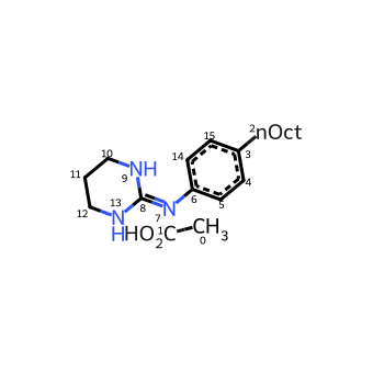 CC(=O)O.CCCCCCCCc1ccc(N=C2NCCCN2)cc1